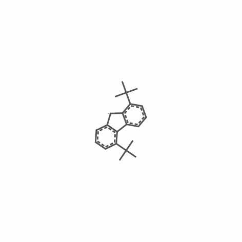 CC(C)(C)c1cccc2c1[CH]c1cccc(C(C)(C)C)c1-2